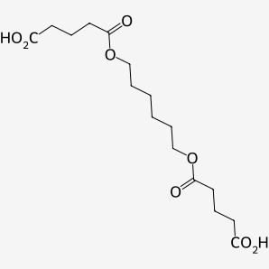 O=C(O)CCCC(=O)OCCCCCCOC(=O)CCCC(=O)O